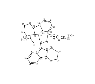 OCCC(CCO)(C1C2C=CC=CC2C2CCCCC21)C1C2C=CC=CC2C2CCCCC21.[Cl-].[Cl-].[Zr+2]